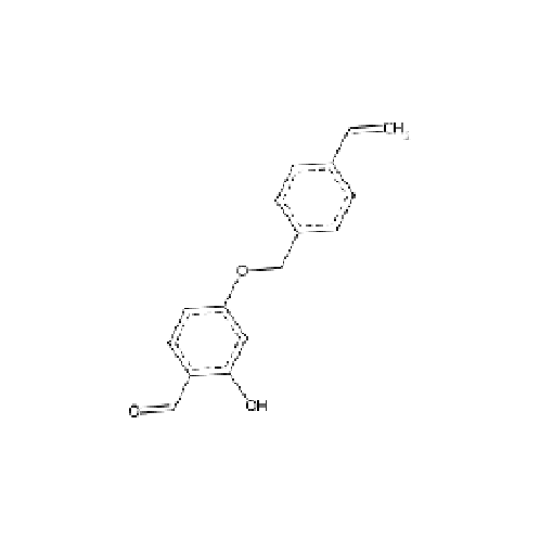 C=Cc1ccc(COc2ccc(C=O)c(O)c2)cc1